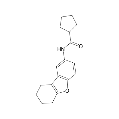 O=C(Nc1ccc2oc3c(c2c1)CCCC3)C1CCCC1